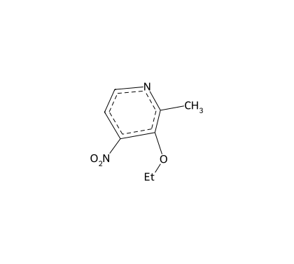 CCOc1c([N+](=O)[O-])ccnc1C